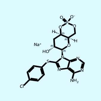 Nc1ncnc2c1nc(Sc1ccc(Cl)cc1)n2[C@@H]1O[C@@H]2COP(=O)([O-])O[C@@H]2C[C@H]1O.[Na+]